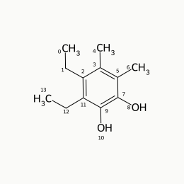 CCc1c(C)c(C)c(O)c(O)c1CC